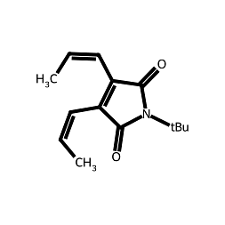 C/C=C\C1=C(/C=C\C)C(=O)N(C(C)(C)C)C1=O